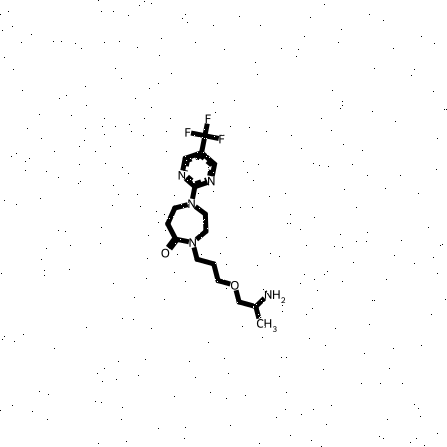 CC(N)COCCCN1CCN(c2ncc(C(F)(F)F)cn2)CCC1=O